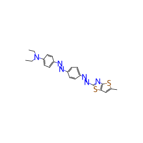 CCN(CC)c1ccc(N=Nc2ccc(N=Nc3nc4sc(C)cc4s3)cc2)cc1